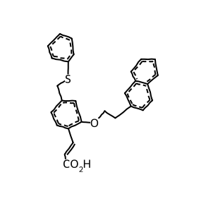 O=C(O)C=Cc1ccc(CSc2ccccc2)cc1OCCc1ccc2ccccc2c1